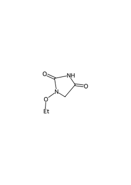 CCON1CC(=O)NC1=O